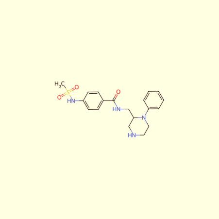 CS(=O)(=O)Nc1ccc(C(=O)NCC2CNCCN2c2ccccc2)cc1